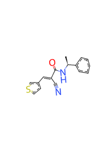 C[C@H](NC(=O)/C(C#N)=C/c1ccsc1)c1ccccc1